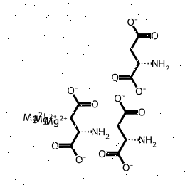 N[C@@H](CC(=O)[O-])C(=O)[O-].N[C@@H](CC(=O)[O-])C(=O)[O-].N[C@@H](CC(=O)[O-])C(=O)[O-].[Mg+2].[Mg+2].[Mg+2]